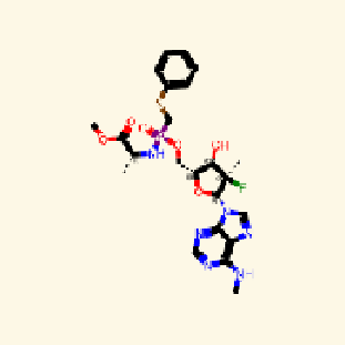 CNc1ncnc2c1ncn2[C@@H]1O[C@H](COP(=O)(CSc2ccccc2)N[C@H](C)C(=O)OC)[C@@H](O)[C@@]1(C)F